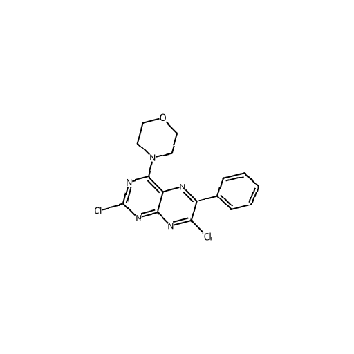 Clc1nc(N2CCOCC2)c2nc(-c3ccccc3)c(Cl)nc2n1